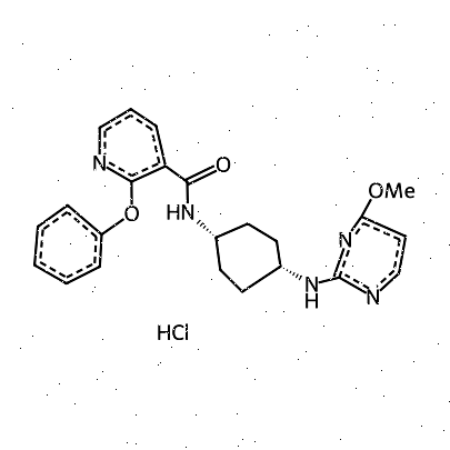 COc1ccnc(N[C@H]2CC[C@@H](NC(=O)c3cccnc3Oc3ccccc3)CC2)n1.Cl